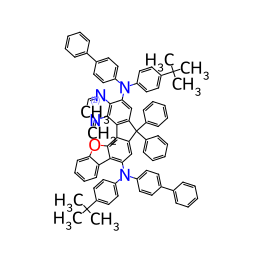 C=Nc1c(/N=C\C)c(N(c2ccc(-c3ccccc3)cc2)c2ccc(C(C)(C)C)cc2)cc2c1-c1c(cc(N(c3ccc(-c4ccccc4)cc3)c3ccc(C(C)(C)C)cc3)c3c1oc1ccccc13)C2(c1ccccc1)c1ccccc1